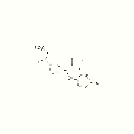 CCOC(=O)CC(=O)N1CCC(COc2ccc(Br)cc2C2CCCC2)C1